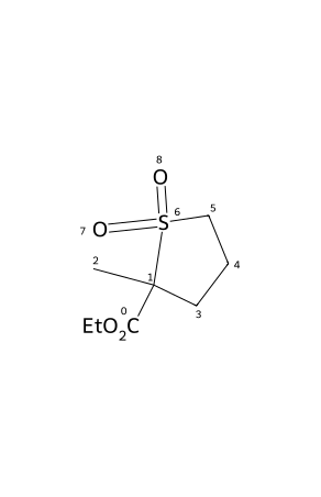 CCOC(=O)C1(C)CCCS1(=O)=O